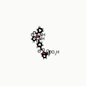 CC1C2CC[C@H]1C(OC(=O)O)C(OC(=O)c1ccc(CNC(=S)Nc3ccccc3C(=O)ON3C(=O)CCC3=O)cc1)C2